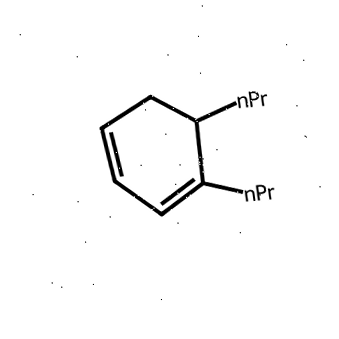 CCCC1=CC=CCC1CCC